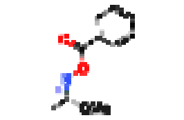 CO/C(C)=N\OC(=O)c1ccccc1